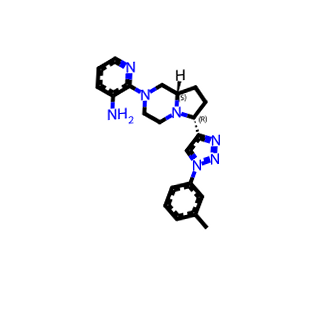 Cc1cccc(-n2cc([C@H]3CC[C@H]4CN(c5ncccc5N)CCN43)nn2)c1